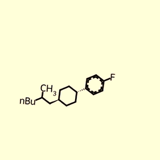 CCCCC(C)C[C@H]1CC[C@H](c2ccc(F)cc2)CC1